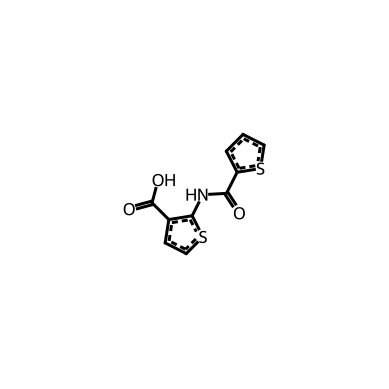 O=C(Nc1sccc1C(=O)O)c1cccs1